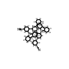 N#Cc1cccc(-c2ccc(-n3c4ccccc4c4ccccc43)c(-c3nc(-c4ccccc4)nc(-c4ccc(C#N)cc4-n4c5ccccc5c5ccccc54)n3)c2)c1